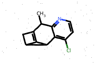 CC1C2=C3C(C2)C3c2c(Cl)ccnc21